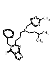 Cc1ncc(CN(CCCc2nc3sccc3c(=O)n2Cc2ccccc2)CCN(C)C)cn1